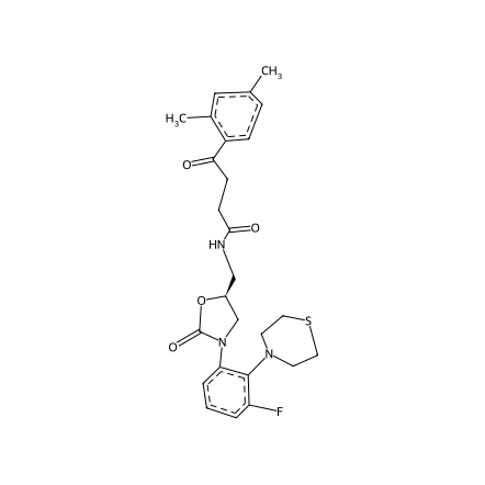 Cc1ccc(C(=O)CCC(=O)NC[C@H]2CN(c3cccc(F)c3N3CCSCC3)C(=O)O2)c(C)c1